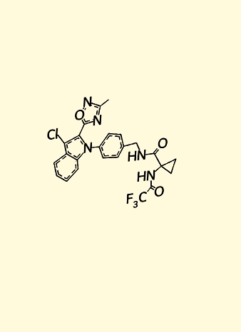 Cc1noc(-c2c(Cl)c3ccccc3n2-c2ccc(CNC(=O)C3(NC(=O)C(F)(F)F)CC3)cc2)n1